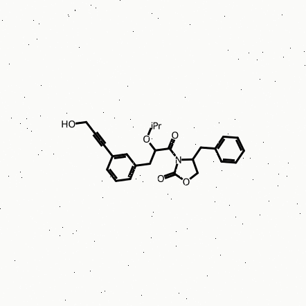 CC(C)OC(Cc1cccc(C#CCO)c1)C(=O)N1C(=O)OCC1Cc1ccccc1